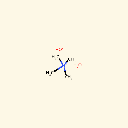 C[N+](C)(C)C.O.[OH-]